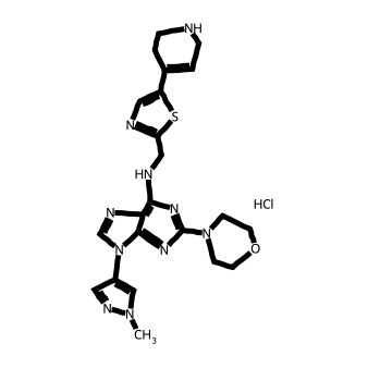 Cl.Cn1cc(-n2cnc3c(NCc4ncc(C5=CCNCC5)s4)nc(N4CCOCC4)nc32)cn1